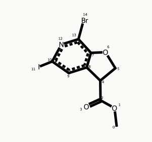 COC(=O)C1COc2c1cc(I)nc2Br